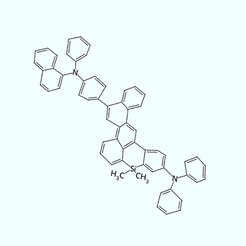 C[Si]1(C)c2cc(N(c3ccccc3)c3ccccc3)ccc2-c2cc3c4ccccc4c(-c4ccc(N(c5ccccc5)c5cccc6ccccc56)cc4)cc3c3cccc1c23